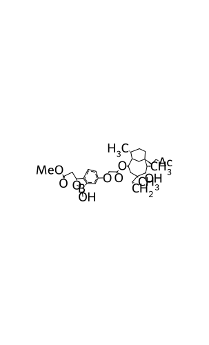 C=C[C@]1(C)C[C@@H](OC(=O)COc2ccc3c(c2)B(O)OC3CC(=O)OC)C2C[C@](CCC(C)=O)(CC[C@H]2C)[C@@H](C)[C@@H]1O